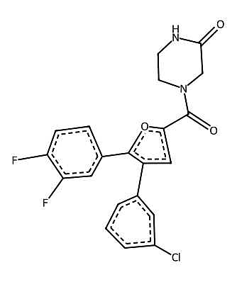 O=C1CN(C(=O)c2cc(-c3cccc(Cl)c3)c(-c3ccc(F)c(F)c3)o2)CCN1